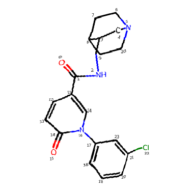 O=C(NC1CN2CCC1CC2)c1ccc(=O)n(-c2cccc(Cl)c2)c1